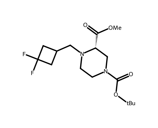 COC(=O)[C@@H]1CN(C(=O)OC(C)(C)C)CCN1CC1CC(F)(F)C1